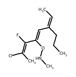 C\C=C(/C=C(ONC)/C(F)=C(\C)Cl)CCC